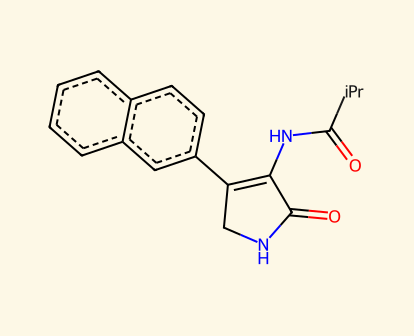 CC(C)C(=O)NC1=C(c2ccc3ccccc3c2)CNC1=O